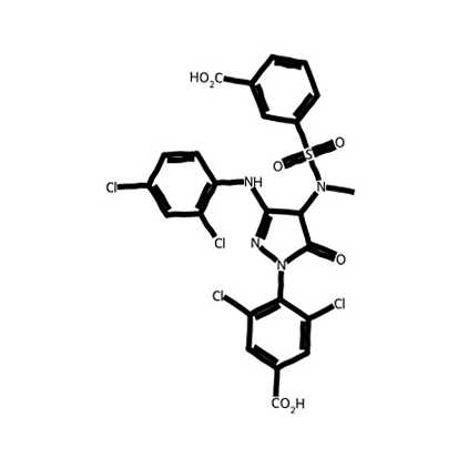 CN(C1C(=O)N(c2c(Cl)cc(C(=O)O)cc2Cl)N=C1Nc1ccc(Cl)cc1Cl)S(=O)(=O)c1cccc(C(=O)O)c1